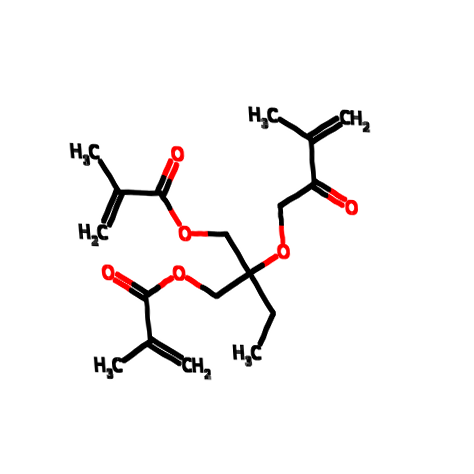 C=C(C)C(=O)COC(CC)(COC(=O)C(=C)C)COC(=O)C(=C)C